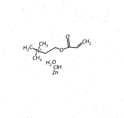 C=CC(=O)OCC[N+](C)(C)C.Cl.O.[Zn]